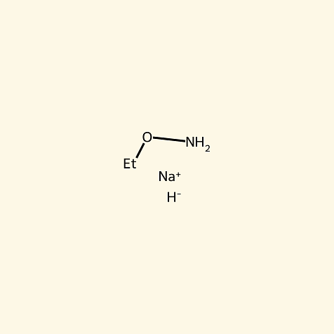 CCON.[H-].[Na+]